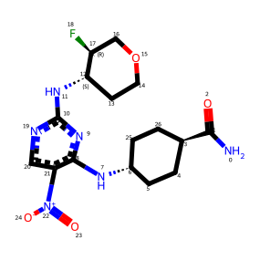 NC(=O)[C@H]1CC[C@H](Nc2nc(N[C@H]3CCOC[C@@H]3F)ncc2[N+](=O)[O-])CC1